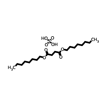 CCCCCCCCOC(=O)CCC(=O)OCCCCCCCC.O=S(=O)(O)O